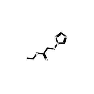 CCOC(=O)CSn1cncn1